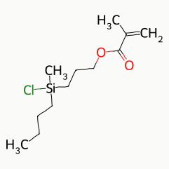 C=C(C)C(=O)OCCC[Si](C)(Cl)CCCC